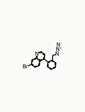 [N-]=[N+]=NCc1ccccc1-c1ccnc2cc(Br)ccc12